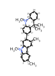 Cc1ccc2c(c1)c1cc(C)c(-c3ccc4c(c3)C(C)(C)c3ccccc3N4C)cc1n2C